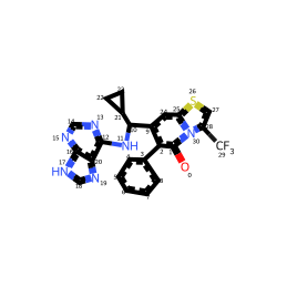 O=c1c(-c2ccccc2)c(C(Nc2ncnc3[nH]cnc23)C2CC2)cc2scc(C(F)(F)F)n12